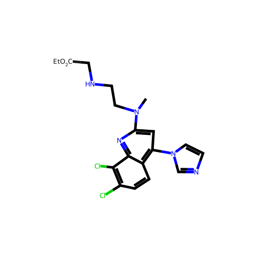 CCOC(=O)CNCCN(C)c1cc(-n2ccnc2)c2ccc(Cl)c(Cl)c2n1